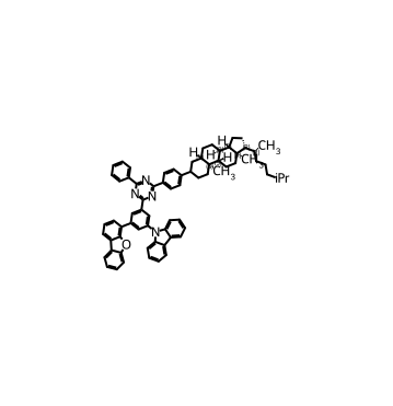 CC(C)CCC[C@@H](C)[C@H]1CC[C@H]2[C@@H]3CC[C@H]4CC(c5ccc(-c6nc(-c7ccccc7)nc(-c7cc(-c8cccc9c8oc8ccccc89)cc(-n8c9ccccc9c9ccccc98)c7)n6)cc5)CC[C@]4(C)[C@H]3CC[C@]12C